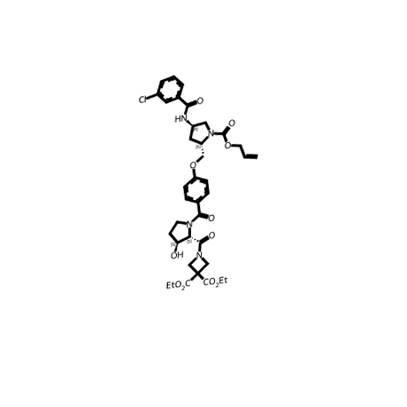 C=CCOC(=O)N1C[C@H](NC(=O)c2cccc(Cl)c2)C[C@H]1COc1ccc(C(=O)N2CC[C@H](O)[C@H]2C(=O)N2CC(C(=O)OCC)(C(=O)OCC)C2)cc1